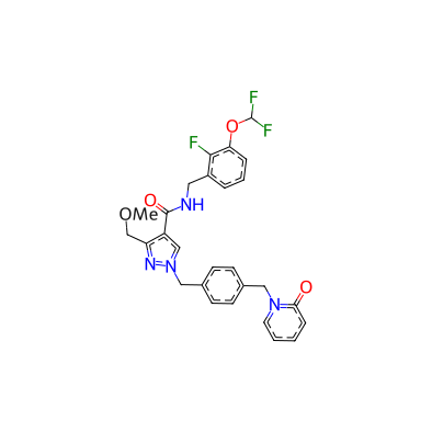 COCc1nn(Cc2ccc(Cn3ccccc3=O)cc2)cc1C(=O)NCc1cccc(OC(F)F)c1F